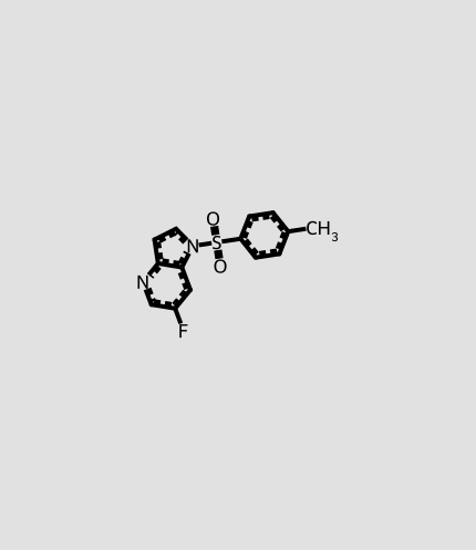 Cc1ccc(S(=O)(=O)n2ccc3ncc(F)cc32)cc1